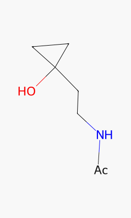 CC(=O)NCCC1(O)CC1